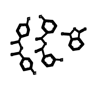 O=C(OC(=O)c1ccc(Cl)cc1)c1ccc(Cl)cc1.O=C(OC(=O)c1cccc(Cl)c1)c1cccc(Cl)c1.O=C1OC(=O)c2ccccc21